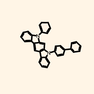 C1=CC(n2c3ccccc3c3cc4c5ccccc5n(-c5ccc(-c6ccccc6)cc5)c4cc32)=CCC1